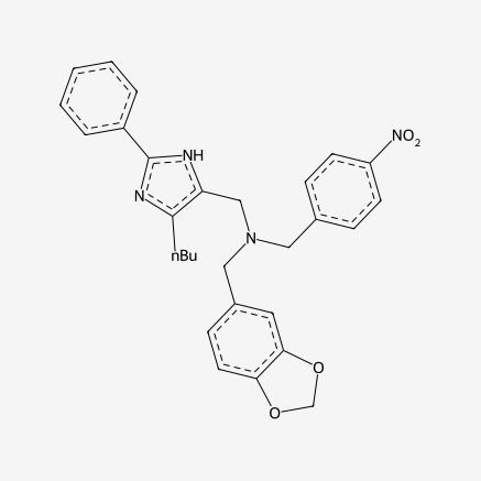 CCCCc1nc(-c2ccccc2)[nH]c1CN(Cc1ccc([N+](=O)[O-])cc1)Cc1ccc2c(c1)OCO2